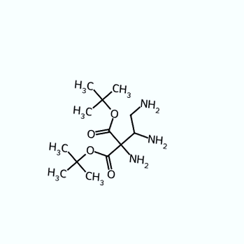 CC(C)(C)OC(=O)C(N)(C(=O)OC(C)(C)C)C(N)CN